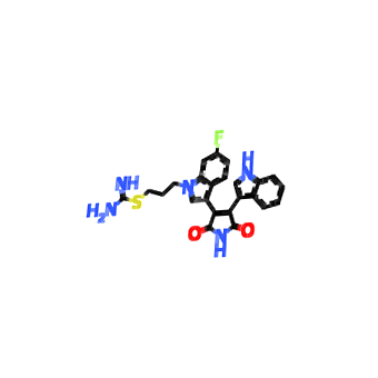 N=C(N)SCCCn1cc(C2=C(c3c[nH]c4ccccc34)C(=O)NC2=O)c2ccc(F)cc21